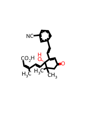 CC(=C/C(=O)O)/C=C/[C@@]1(O)C(/C=C/c2cccc(C#N)c2)=CC(=O)CC1(C)C